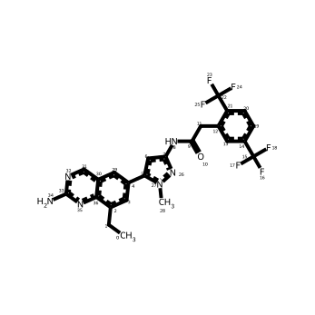 CCc1cc(-c2cc(NC(=O)Cc3cc(C(F)(F)F)ccc3C(F)(F)F)nn2C)cc2cnc(N)nc12